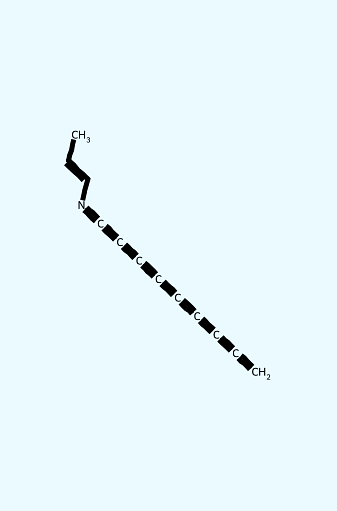 C=C=C=C=C=C=C=C=C=NC=CC